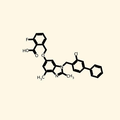 Cc1cc(OCc2cccc(F)c2C(=O)O)cc2c1nc(C)n2Cc1ccc(-c2ccccc2)cc1Cl